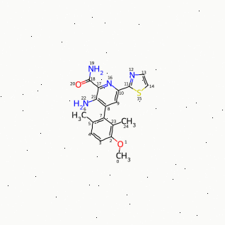 COc1ccc(C)c(-c2cc(-c3nccs3)nc(C(N)=O)c2N)c1C